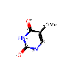 COC1=C[N]C(=O)NC1=O